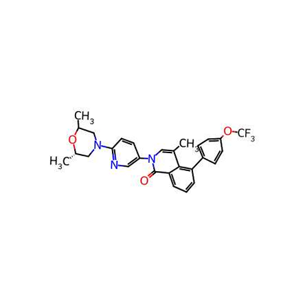 Cc1cn(-c2ccc(N3CC(C)O[C@@H](C)C3)nc2)c(=O)c2cccc(-c3ccc(OC(F)(F)F)cc3)c12